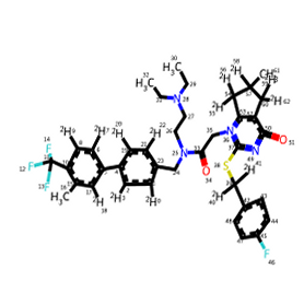 [2H]c1c([2H])c(-c2c([2H])c([2H])c(C(F)(F)F)c(C)c2[2H])c([2H])c([2H])c1CN(CCN(CC)CC)C(=O)Cn1c(SC([2H])([2H])c2ccc(F)cc2)nc(=O)c2c1C([2H])([2H])C([2H])(C)C2([2H])[2H]